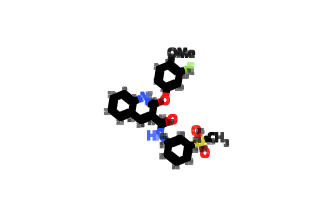 COc1ccc(Oc2nc3ccccc3cc2C(=O)Nc2cccc(S(C)(=O)=O)c2)cc1F